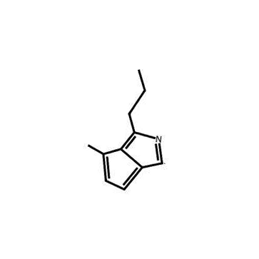 CCCC1=C2C(C)=CC=C2[C]=N1